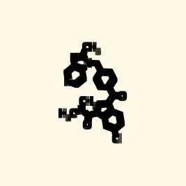 Cc1nc2cnccc2n1Cc1ccc(C(=O)c2cn(C(=O)N(C)C)c3cc(Cl)ccc23)cc1